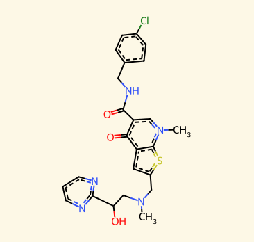 CN(Cc1cc2c(=O)c(C(=O)NCc3ccc(Cl)cc3)cn(C)c2s1)CC(O)c1ncccn1